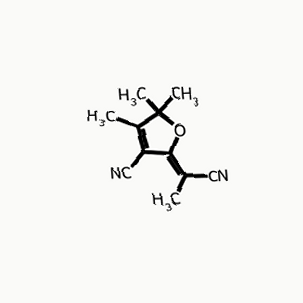 CC1=C(C#N)/C(=C(\C)C#N)OC1(C)C